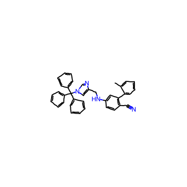 Cc1ccccc1-c1cc(NCc2cn(C(c3ccccc3)(c3ccccc3)c3ccccc3)cn2)ccc1C#N